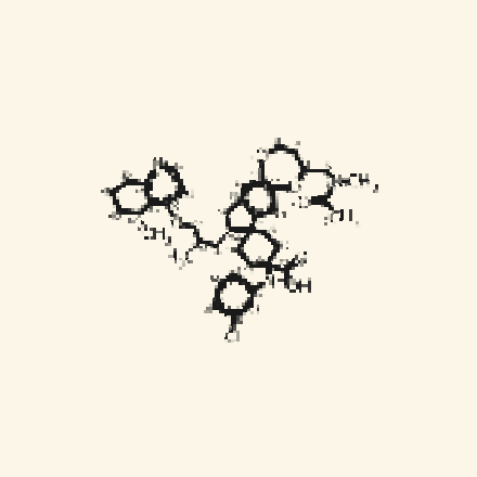 CC(=O)N(C)C[C@@H]1CCOc2cc3c(cc2O1)C1(CCC(Nc2cccc(Cl)c2)(C(=O)O)CC1)[C@@H](C[C@@H](C)COc1ccnc2c1[C@H](C)CCC2)C3